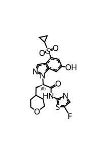 O=C(Nc1ncc(F)s1)[C@@H](CC1CCOCC1)n1ncc2c(S(=O)(=O)C3CC3)cc(O)cc21